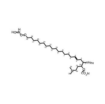 CCCCCCC(CC=CCCCCCCCCCCCCCCCOONO)C(CCN(C)C)OC(=O)O